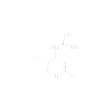 CC(=N)Nc1cc(Cl)ncc1C